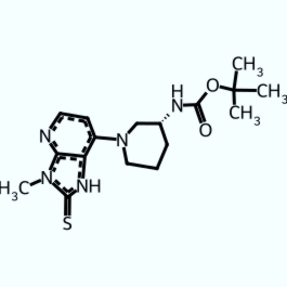 Cn1c(=S)[nH]c2c(N3CCC[C@@H](NC(=O)OC(C)(C)C)C3)ccnc21